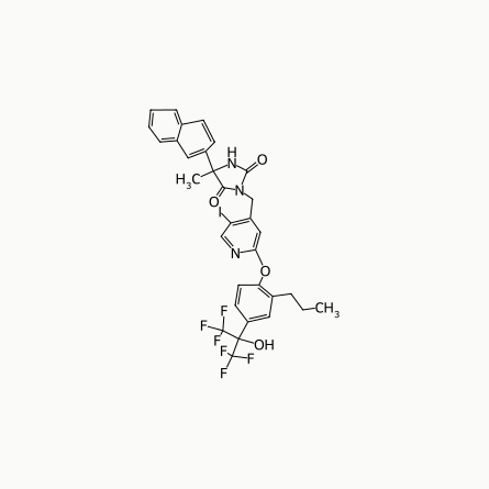 CCCc1cc(C(O)(C(F)(F)F)C(F)(F)F)ccc1Oc1cc(CN2C(=O)NC(C)(c3ccc4ccccc4c3)C2=O)c(I)cn1